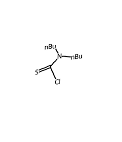 CCCCN(CCCC)C(=S)Cl